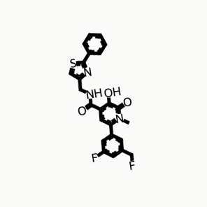 Cn1c(-c2cc(F)cc(CF)c2)cc(C(=O)NCc2csc(-c3ccccc3)n2)c(O)c1=O